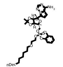 CCCCCCCCCCCCCCCCOCCOP(=O)(OC[C@H]1O[C@@](C)(c2ccc3c(N)ncnn23)[C@@H]2OC(C)(C)O[C@@H]21)Oc1ccccc1Cl